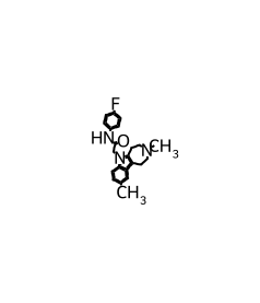 Cc1ccc2c(c1)c1c(n2CC(=O)Nc2ccc(F)cc2)CCN(C)CC1